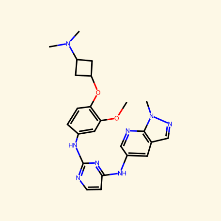 COc1cc(Nc2nccc(Nc3cnc4c(cnn4C)c3)n2)ccc1OC1CC(N(C)C)C1